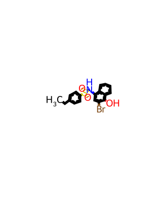 CCc1ccc(S(=O)(=O)Nc2cc(Br)c(O)c3ccccc23)cc1